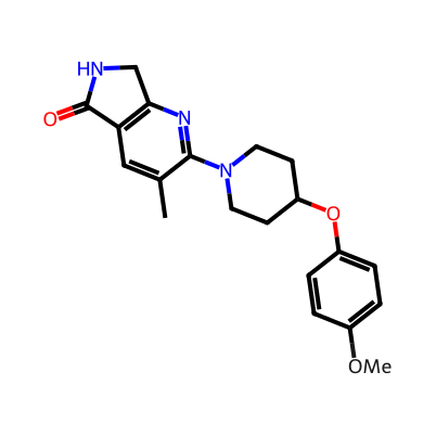 COc1ccc(OC2CCN(c3nc4c(cc3C)C(=O)NC4)CC2)cc1